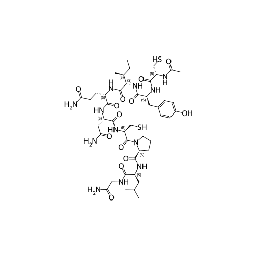 CC[C@H](C)[C@H](NC(=O)[C@H](Cc1ccc(O)cc1)NC(=O)[C@H](CS)NC(C)=O)C(=O)N[C@@H](CCC(N)=O)C(=O)N[C@@H](CC(N)=O)C(=O)N[C@@H](CS)C(=O)N1CCC[C@H]1C(=O)N[C@@H](CC(C)C)C(=O)NCC(N)=O